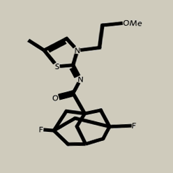 COCCn1cc(C)s/c1=N\C(=O)C12CC3CC(F)(CC(F)(C3)C1)C2